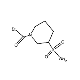 CCC(=O)N1CCCC(S(N)(=O)=O)C1